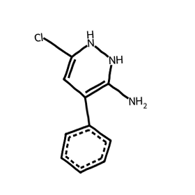 NC1=C(c2ccccc2)C=C(Cl)NN1